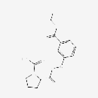 CCOC(=O)c1cccc(NNC(=O)[C@@H]2CCCN2C(N)=O)c1